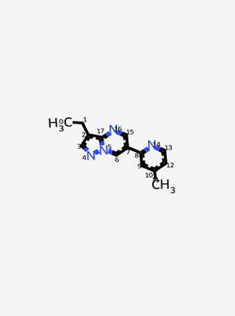 CCc1cnn2cc(-c3cc(C)ccn3)cnc12